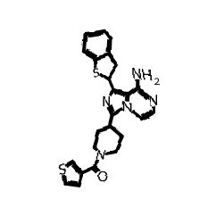 Nc1nccn2c(C3CCN(C(=O)c4ccsc4)CC3)nc(C3Cc4ccccc4S3)c12